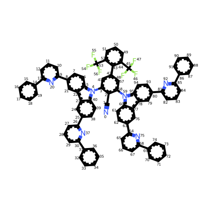 N#Cc1c(-n2c3ccc(-c4cccc(-c5ccccc5)n4)cc3c3cc(-c4cccc(-c5ccccc5)n4)ccc32)cc(-c2c(C(F)(F)F)cccc2C(F)(F)F)cc1-n1c2ccc(-c3cccc(-c4ccccc4)n3)cc2c2cc(-c3cccc(-c4ccccc4)n3)ccc21